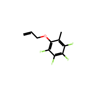 C=CCOc1c(C)c(F)c(F)c(F)c1F